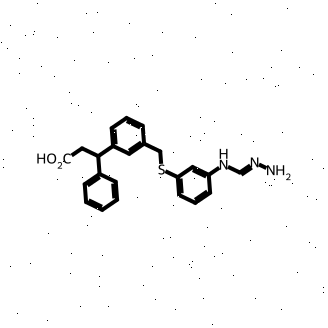 NN=CNc1cccc(SCc2cccc(C(CC(=O)O)c3ccccc3)c2)c1